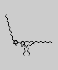 CCCCCCCCCCCCc1csc(-c2cc(CCCCCCCCCCCC)[c]([Sn]([CH2]CCC)([CH2]CCC)[CH2]CCC)s2)c1